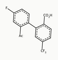 CC(=O)c1cc(F)ccc1-c1cc(C(F)(F)F)ccc1C(=O)O